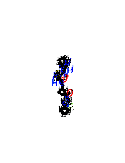 O=C(NCc1cccc(C(=O)N2CCN(c3ccccc3F)CC2)c1)c1cnsc1Nc1cnc2ccccc2n1